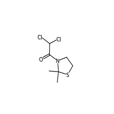 CC1(C)SCCN1C(=O)C(Cl)Cl